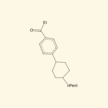 CCCCCC1CCC(c2ccc(C(=O)CC)cc2)CC1